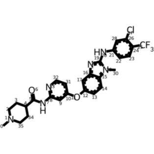 CN1CCC(C(=O)Nc2cc(Oc3ccc4c(c3)nc(Nc3ccc(C(F)(F)F)c(Cl)c3)n4C)ccn2)CC1